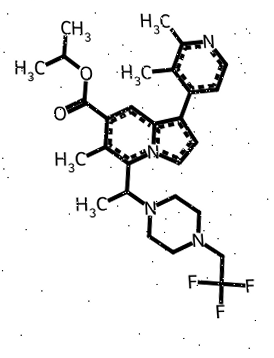 Cc1nccc(-c2ccn3c(C(C)N4CCN(CC(F)(F)F)CC4)c(C)c(C(=O)OC(C)C)cc23)c1C